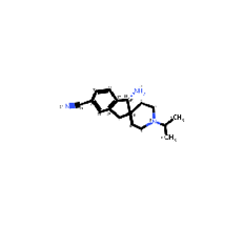 CC(C)N1CCC2(CC1)Cc1cc(C#N)ccc1[C@@H]2N